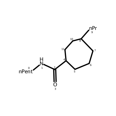 CCCCCNC(=O)C1CCCC(CCC)CC1